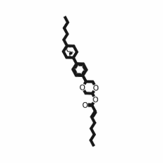 CCCCC/C=C/C(=O)OC1COC(c2ccc(C34CCC(CCCCC)(CC3)CC4)cc2)CO1